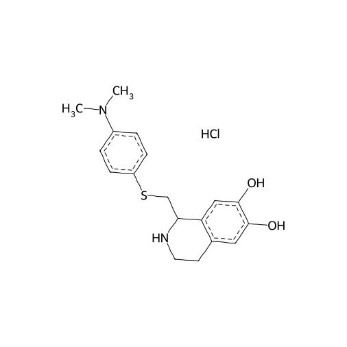 CN(C)c1ccc(SCC2NCCc3cc(O)c(O)cc32)cc1.Cl